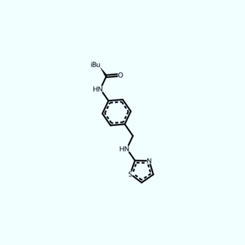 CC[C@H](C)C(=O)Nc1ccc(CNc2nccs2)cc1